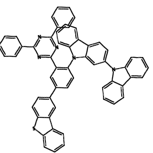 c1ccc(-c2nc(-c3ccccc3)nc(-c3cc(-c4ccc5sc6ccccc6c5c4)ccc3-n3c4ccccc4c4ccc(-n5c6ccccc6c6ccccc65)cc43)n2)cc1